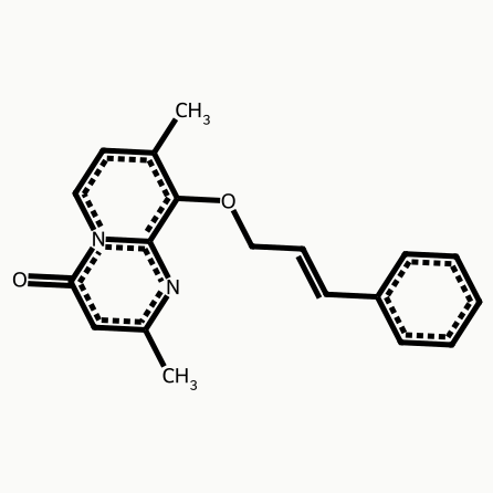 Cc1cc(=O)n2ccc(C)c(OCC=Cc3ccccc3)c2n1